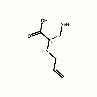 C=CCN[C@@H](C[SeH])C(=O)O